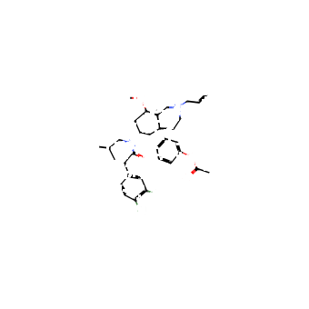 C=CCN1CC[C@@]2(c3cccc(OC(C)=O)c3)C[C@H](N(CC(C)C)C(=O)Cc3ccc(Cl)c(Cl)c3)CC(OC)[C@@H]2C1